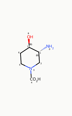 N[C@@H]1CN(C(=O)O)CC[C@H]1O